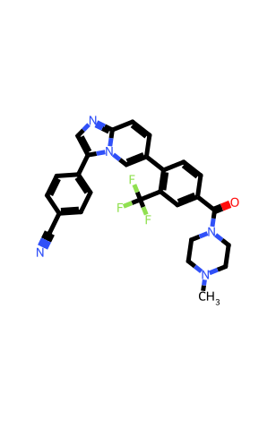 CN1CCN(C(=O)c2ccc(-c3ccc4ncc(-c5ccc(C#N)cc5)n4c3)c(C(F)(F)F)c2)CC1